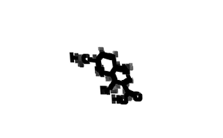 Cc1ccc2ncc(C(=O)O)c(Br)c2n1